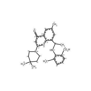 Cc1cc(C(C)Nc2c(C)cccc2C(=O)O)c2oc(N3CCC(C)(C)CC3)cc(=O)c2c1